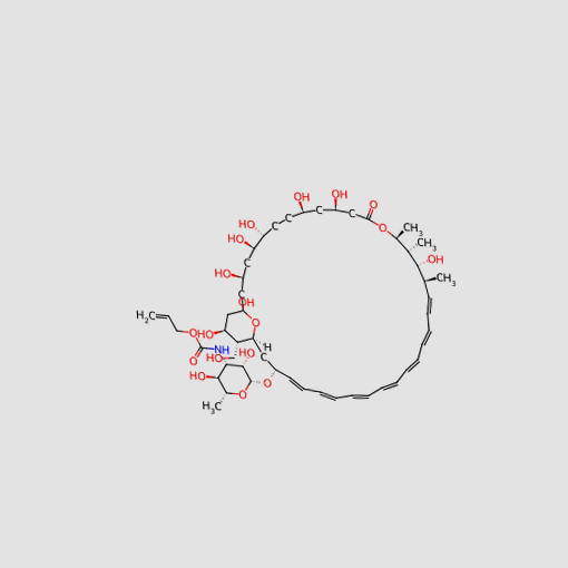 C=CCOC(=O)N[C@@H]1[C@H](O)[C@H](O[C@H]2/C=C/C=C/C=C/C=C/C=C/C=C/C=C/[C@H](C)[C@@H](O)[C@@H](C)[C@H](C)OC(=O)C[C@H](O)C[C@H](O)CC[C@@H](O)[C@H](O)C[C@H](O)C[C@]3(O)C[C@H](O)[C@@H](CO)[C@H](C2)O3)O[C@H](C)[C@H]1O